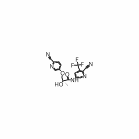 C[C@](O)(COc1ccc(C#N)nc1)C(=O)Nc1cnc(C#N)c(C(F)(F)F)c1